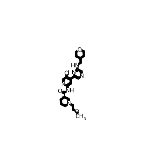 COCCN1CCC[C@@H](C(=O)Nc2cc(-c3cncc(NCC4CCOCC4)n3)c(Cl)cn2)C1